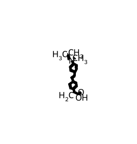 C=C(C(=O)O)c1ccc(C=Cc2ccc(N(C)C=C(C)C)cc2)cc1